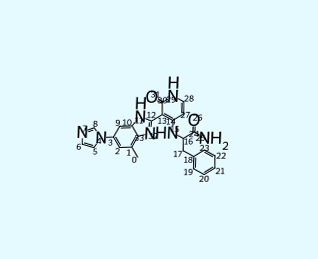 Cc1cc(-n2ccnc2)cc2[nH]c(-c3c(NC(Cc4ccccc4)C(N)=O)cc[nH]c3=O)nc12